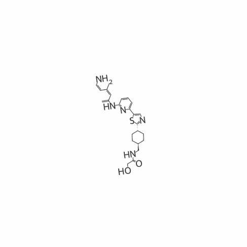 C=C(/C=C(C)\C=C/N)Nc1cccc(-c2cnc([C@H]3CC[C@H](CNC(=O)CO)CC3)s2)n1